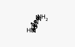 Nc1ncc(-c2ccc([C@H](c3noc(-c4cn[nH]c4)n3)C3CC3)cn2)cn1